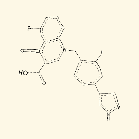 O=C(O)c1cn(Cc2ccc(-c3cn[nH]c3)cc2F)c2cccc(F)c2c1=O